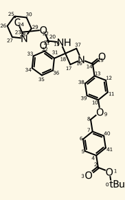 CC(C)(C)OC(=O)c1ccc(COc2ccc(C(=O)N3CC(NC(=O)OC4CC5CCN4CC5)(c4ccccc4)C3)cc2)cc1